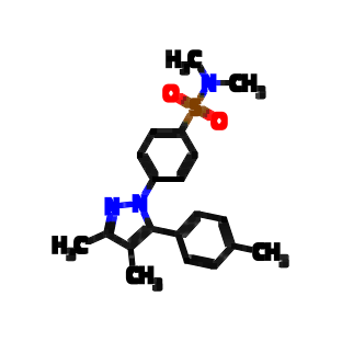 Cc1ccc(-c2c(C)c(C)nn2-c2ccc(S(=O)(=O)N(C)C)cc2)cc1